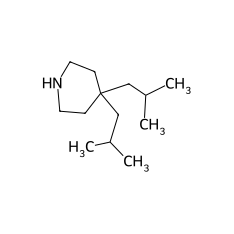 CC(C)CC1(CC(C)C)CCNCC1